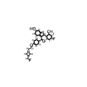 Cc1cc(F)ccc1-c1sc2cc(O)ccc2c1C(=O)c1ccc(OCCN2CC(CF)C2)cc1